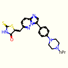 CCCN1CCN(c2ccc(-c3cnc4ccc(/C=C5\SC(=S)NC5=O)nn34)cc2)CC1